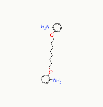 Nc1ccccc1OCCCCCCCCOc1ccccc1N